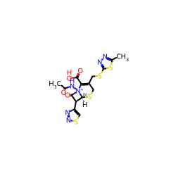 CC(=O)N[N+]12C(=O)C(c3csnn3)[C@@H]1SCC(CSc1nnc(C)s1)=C2C(=O)O